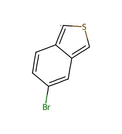 Brc1ccc2[c]scc2c1